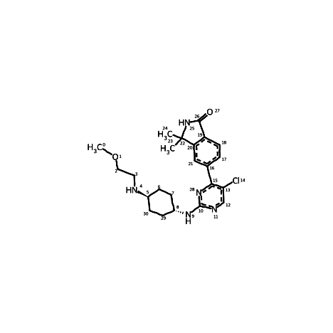 COCCN[C@H]1CC[C@H](Nc2ncc(Cl)c(-c3ccc4c(c3)C(C)(C)NC4=O)n2)CC1